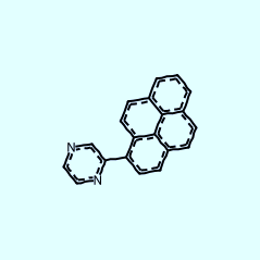 c1cc2ccc3ccc(-c4cnccn4)c4ccc(c1)c2c34